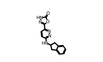 O=c1[nH]nc(-c2ccc(NC3Cc4ccccc4C3)nn2)o1